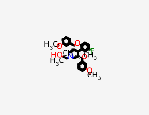 COc1cccc(C(=O)[C@H]2CN(CC(C)(C)O)C[C@H](C(=O)c3cccc(OC)c3)C2c2cccc(F)c2C)c1